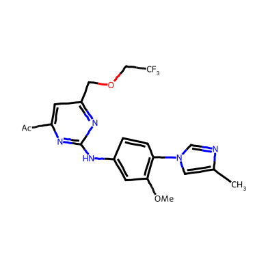 COc1cc(Nc2nc(COCC(F)(F)F)cc(C(C)=O)n2)ccc1-n1cnc(C)c1